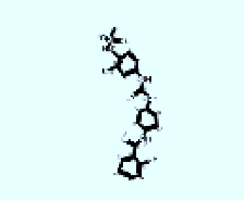 CS(=O)(=O)Nc1ccc(NC(=S)Nc2ccc(NC(=O)c3ccccc3F)cc2)cc1Cl